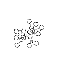 Clc1c(N(c2ccc(-c3ccccc3)cc2)c2cccc3c2C2(c4ccccc4-c4ccccc42)c2ccccc2-3)cc(-n2c3ccccc3c3ccccc32)cc1N(c1ccc(-c2ccccc2)cc1)c1cccc2c1C1(c3ccccc3-c3ccccc31)c1ccccc1-2